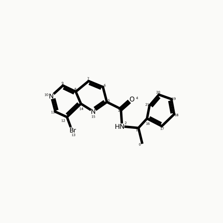 CC(NC(=O)c1ccc2cncc(Br)c2n1)c1ccccc1